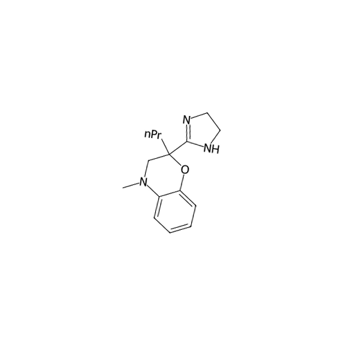 CCCC1(C2=NCCN2)CN(C)c2ccccc2O1